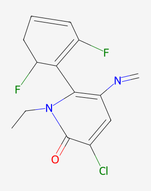 C=Nc1cc(Cl)c(=O)n(CC)c1C1=C(F)C=CCC1F